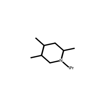 CC1CC(C)N(C(C)C)CC1C